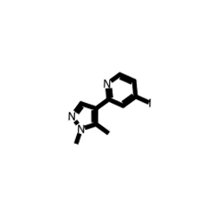 Cc1c(-c2cc(I)ccn2)cnn1C